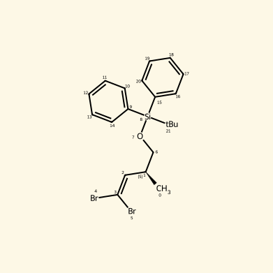 C[C@@H](C=C(Br)Br)CO[Si](c1ccccc1)(c1ccccc1)C(C)(C)C